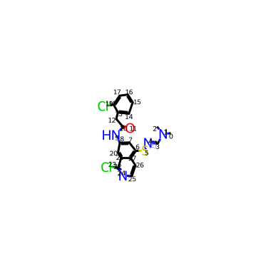 CN(C)/C=N/Sc1cc(NC(=O)Cc2ccccc2Cl)cc2c(Cl)nccc12